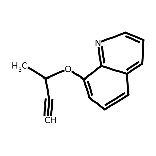 C#CC(C)Oc1cccc2cccnc12